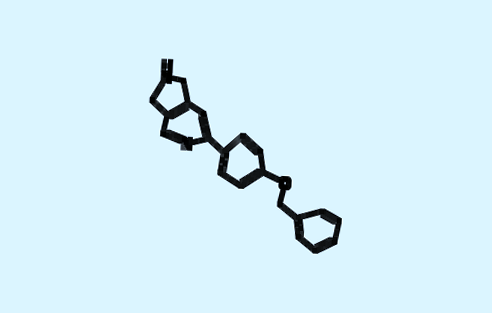 c1ccc(COc2ccc(-c3cc4c(cn3)CNC4)cc2)cc1